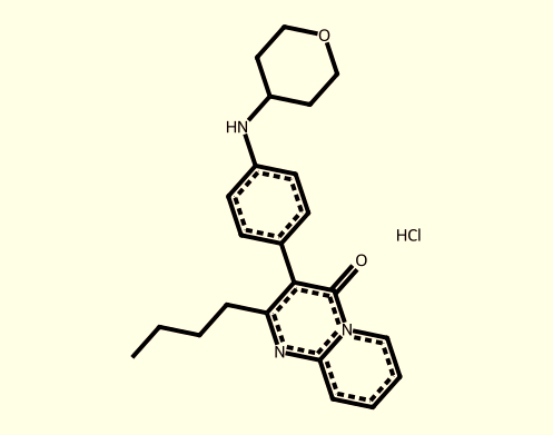 CCCCc1nc2ccccn2c(=O)c1-c1ccc(NC2CCOCC2)cc1.Cl